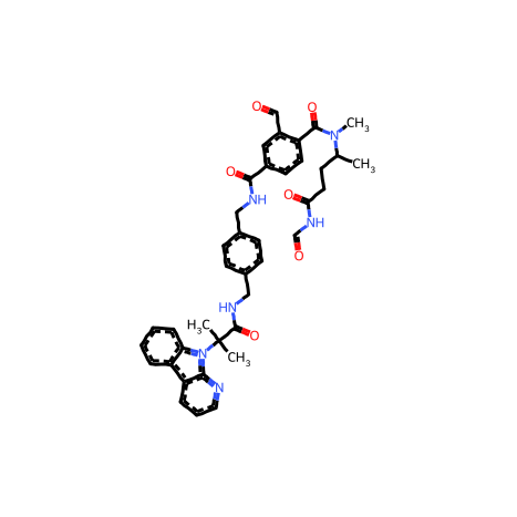 CC(CCC(=O)NC=O)N(C)C(=O)c1ccc(C(=O)NCc2ccc(CNC(=O)C(C)(C)n3c4ccccc4c4cccnc43)cc2)cc1C=O